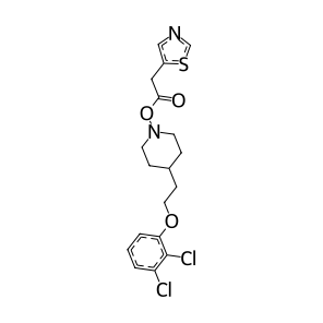 O=C(Cc1cncs1)ON1CCC(CCOc2cccc(Cl)c2Cl)CC1